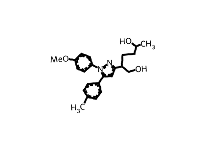 COc1ccc(-n2nc(C(CO)CCC(C)O)cc2-c2ccc(C)cc2)cc1